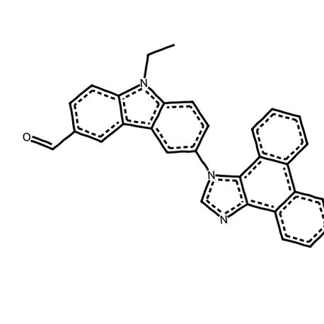 CCn1c2ccc(C=O)cc2c2cc(-n3cnc4c5ccccc5c5ccccc5c43)ccc21